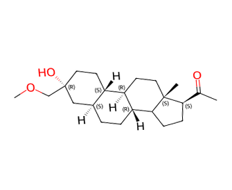 COC[C@@]1(O)CC[C@H]2[C@@H](CC[C@H]3C4CC[C@H](C(C)=O)[C@@]4(C)CC[C@H]23)C1